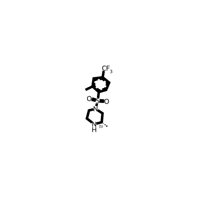 Cc1cc(C(F)(F)F)ccc1S(=O)(=O)N1CCN[C@@H](C)C1